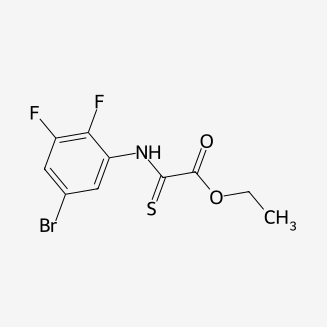 CCOC(=O)C(=S)Nc1cc(Br)cc(F)c1F